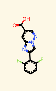 O=C(O)c1cnn2cc(-c3c(F)cccc3F)nc2c1